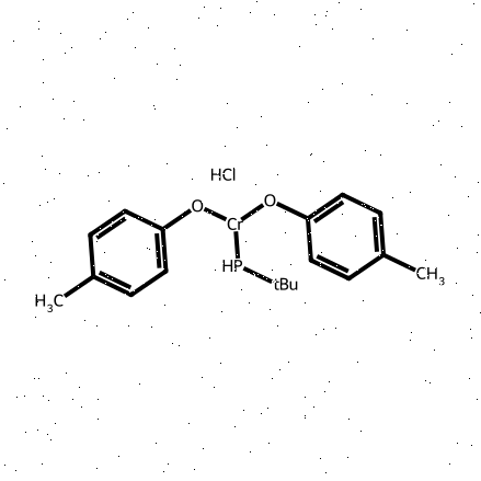 Cc1ccc([O][Cr]([O]c2ccc(C)cc2)[PH]C(C)(C)C)cc1.Cl